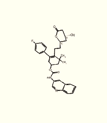 CC1(C)CC(OC(=O)Nc2cnc3ccccc3c2)CC(c2ccc(F)cc2)=C1CC[C@@H]1C[C@@H](O)CC(=O)O1